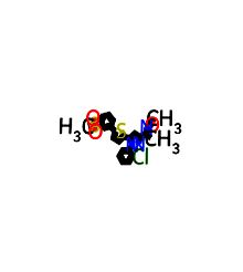 CON=C(C)c1cc(-c2ccc(-c3cccc(S(C)(=O)=O)c3)s2)n(-c2ccccc2Cl)n1